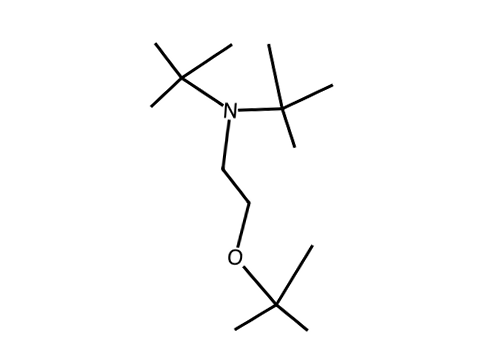 CC(C)(C)OCCN(C(C)(C)C)C(C)(C)C